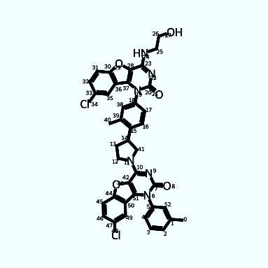 Cc1cccc(-n2c(=O)nc(N3CCC(c4ccc(-n5c(=O)nc(NCCO)c6oc7ccc(Cl)cc7c65)cc4C)C3)c3oc4ccc(Cl)cc4c32)c1